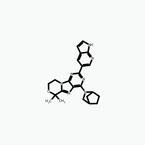 CC1(C)OCCn2c1nc1c(N3CC4CCC3C4)nc(-c3cnc4[nH]ccc4c3)nc12